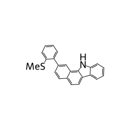 CSc1ccccc1-c1ccc2ccc3c4ccccc4[nH]c3c2c1